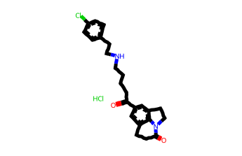 Cl.O=C(CCCCNCCc1ccc(Cl)cc1)c1cc2c3c(c1)CCN3C(=O)CC2